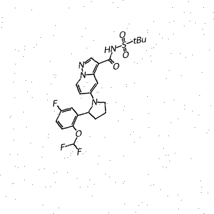 CC(C)(C)S(=O)(=O)NC(=O)c1cnn2ccc(N3CCCC3c3cc(F)ccc3OC(F)F)cc12